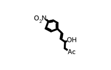 CC(=O)CC(O)C=Cc1ccc([N+](=O)[O-])cc1